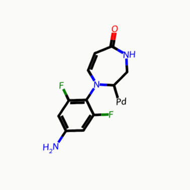 Nc1cc(F)c(N2C=CC(=O)NC[CH]2[Pd])c(F)c1